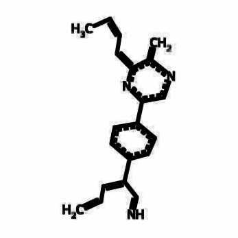 C=C/C=C(\C=N)c1ccc(-c2cnc(=C)/c(=C\C=C/C)n2)cc1